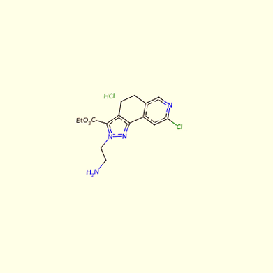 CCOC(=O)c1c2c(nn1CCN)-c1cc(Cl)ncc1CC2.Cl